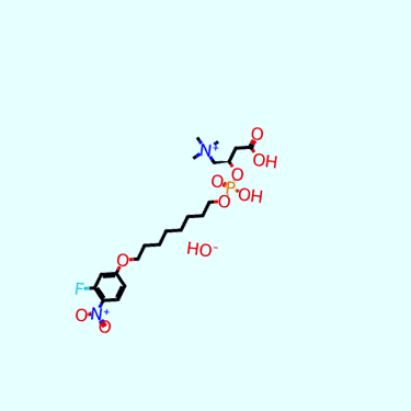 C[N+](C)(C)C[C@@H](CC(=O)O)OP(=O)(O)OCCCCCCCCOc1ccc([N+](=O)[O-])c(F)c1.[OH-]